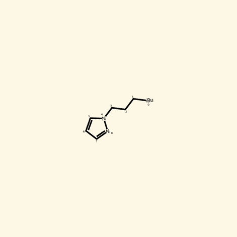 CCC(C)CCCn1cccn1